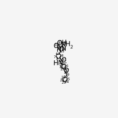 Nc1ncc(-c2cccc(C(=O)Nc3ccc(OCCc4ccccc4)cc3)c2)nc1C(=O)O